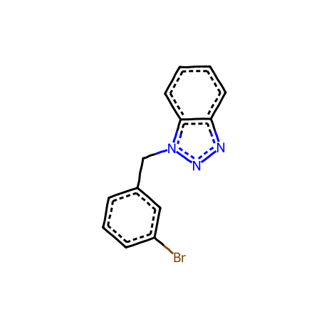 Brc1cccc(Cn2nnc3ccccc32)c1